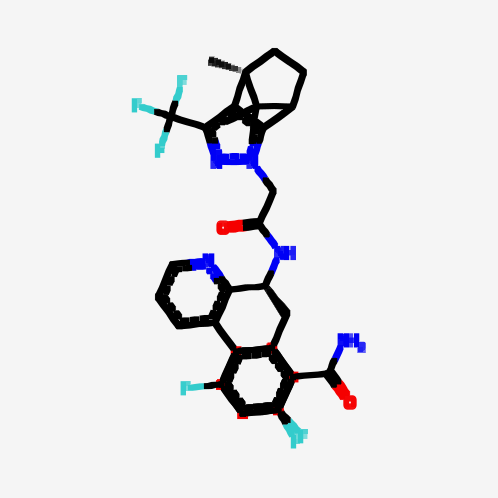 CC1(C)C2CC[C@]1(C)c1c(C(F)(F)F)nn(CC(=O)N[C@@H](Cc3cc(F)cc(F)c3)c3ncccc3-c3ccc(F)c(C(N)=O)c3)c12